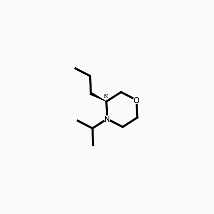 CCC[C@H]1COCCN1C(C)C